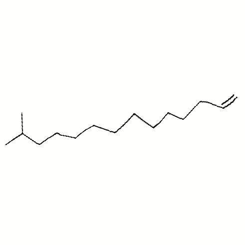 C=CCCCCCCCCCCC(C)C